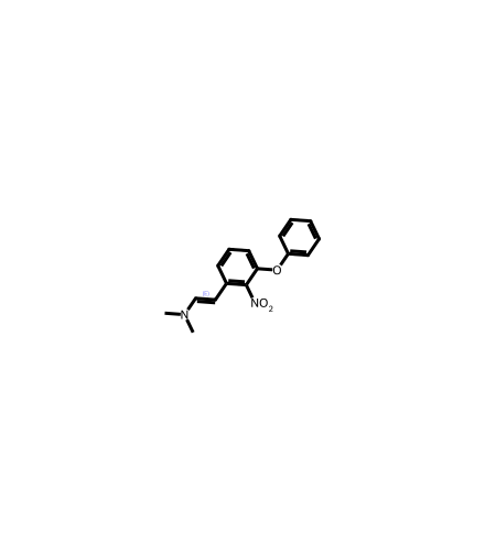 CN(C)/C=C/c1cccc(Oc2ccccc2)c1[N+](=O)[O-]